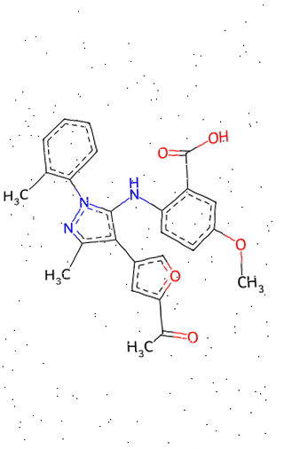 COc1ccc(Nc2c(-c3coc(C(C)=O)c3)c(C)nn2-c2ccccc2C)c(C(=O)O)c1